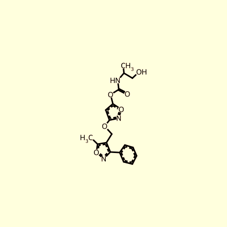 Cc1onc(-c2ccccc2)c1COc1cc(OC(=O)NC(C)CO)on1